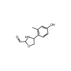 Cc1cc(O)ccc1C1COC(C=O)N1